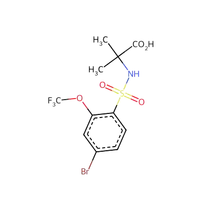 CC(C)(NS(=O)(=O)c1ccc(Br)cc1OC(F)(F)F)C(=O)O